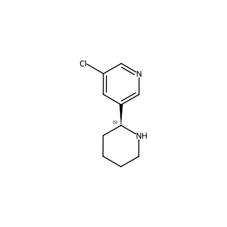 Clc1cncc([C@@H]2CCCCN2)c1